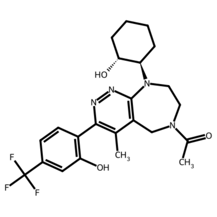 CC(=O)N1CCN([C@@H]2CCCC[C@H]2O)c2nnc(-c3ccc(C(F)(F)F)cc3O)c(C)c2C1